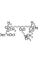 CCCCCCCCCCC(CCCCCCCC)COC(=O)C(C)(C)CCCCCC(CCCCCC(C)(C)C(=O)OCCCCCCCCC)OC(=O)CCCN(C)C